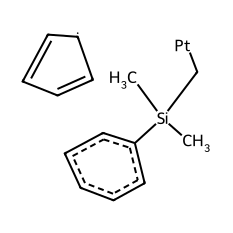 C[Si](C)([CH2][Pt])c1ccccc1.[CH]1C=CC=C1